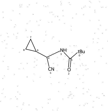 CC(C)(C)C(=O)NC(C#N)C1CC1